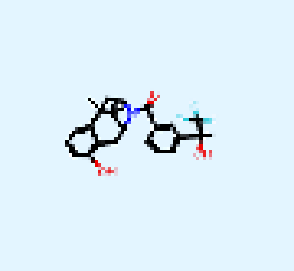 CC(O)(c1cccc(C(=O)N2CC[C@@]3(C)c4cccc(O)c4CC2C3(C)C)c1)C(F)(F)F